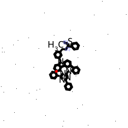 C/C=c1/sc2ccccc2/c1=C/Cc1cccc(-n2c3ccccc3c3c2ccc2c4ccccc4n(-c4nc(-c5ccccc5)nc(-c5ccccc5)n4)c23)c1